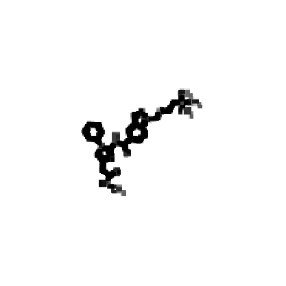 CNC(=O)Cc1cn(-c2ccccc2)c(NC(=O)c2ccc3c(cnn3COCC[Si](C)(C)C)c2)n1